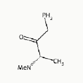 CN[C@@H](C)C(=O)CP